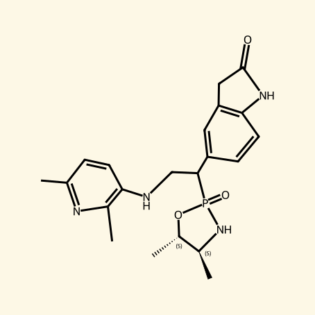 Cc1ccc(NCC(c2ccc3c(c2)CC(=O)N3)P2(=O)N[C@@H](C)[C@H](C)O2)c(C)n1